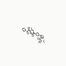 CCC[C@H]1CC[C@H](c2ccc(-n3cc(I)c(NC(=O)c4ccccc4)nc3=O)cc2)N1C(=O)OC(C)(C)C